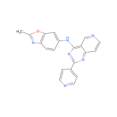 Cc1nc2ccc(Nc3nc(-c4ccncc4)nc4ccncc34)cc2o1